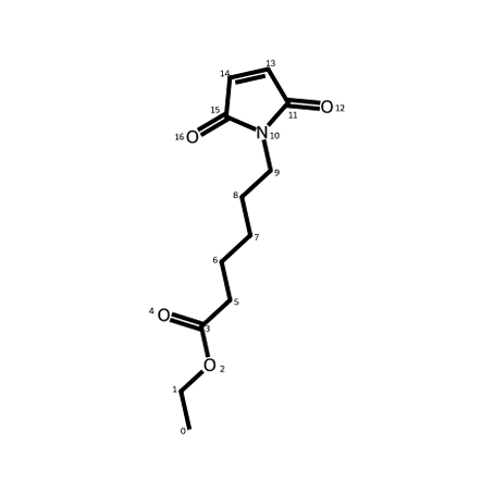 CCOC(=O)CCCCCN1C(=O)C=CC1=O